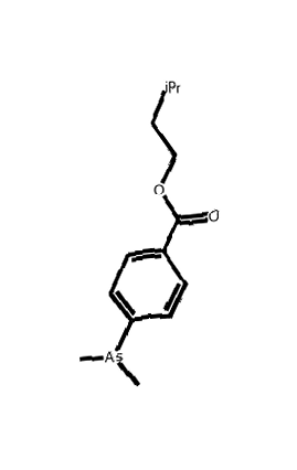 CC(C)CCOC(=O)c1ccc([As](C)C)cc1